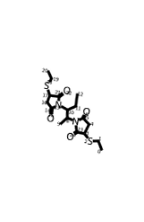 CCSC1CC(=O)N(C(C)C(CC)N2C(=O)CC(SCC)C2=O)C1=O